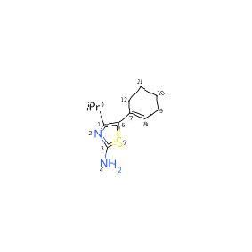 CC(C)c1nc(N)sc1C1=CCCCC1